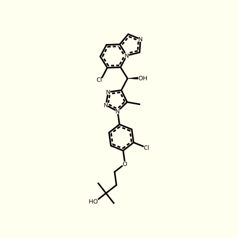 Cc1c([C@H](O)c2c(Cl)ccc3cncn23)nnn1-c1ccc(OCCC(C)(C)O)c(Cl)c1